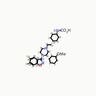 COC1CCCCC1.O=C(O)N[C@H]1CC[C@H](CCN2CCN(c3noc4cc(F)c(F)cc34)CC2)CC1